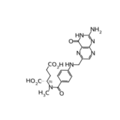 CN(C(=O)c1ccc(NCc2cnc3nc(N)[nH]c(=O)c3n2)cc1)[C@@H](CCC(=O)O)C(=O)O